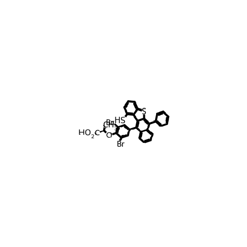 C[C@@H](Oc1c(Br)cc(-c2c3ccccc3c(-c3ccccc3)c3sc4cccc(S)c4c23)cc1Br)C(=O)O